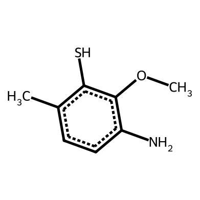 COc1c(N)ccc(C)c1S